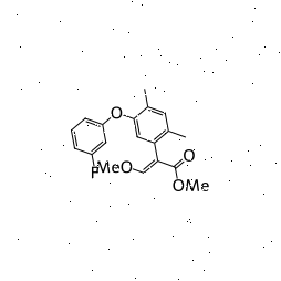 CO/C=C(/C(=O)OC)c1cc(Oc2cccc(F)c2)c(C)cc1C